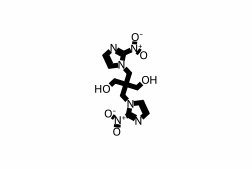 O=[N+]([O-])c1nccn1CC(CO)(CO)Cn1ccnc1[N+](=O)[O-]